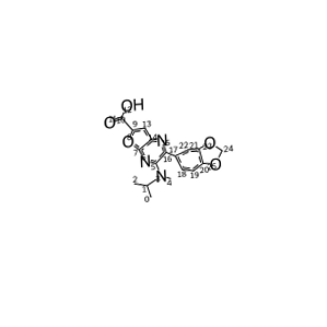 CC(C)N(C)c1nc2oc(C(=O)O)cc2nc1-c1ccc2c(c1)OCO2